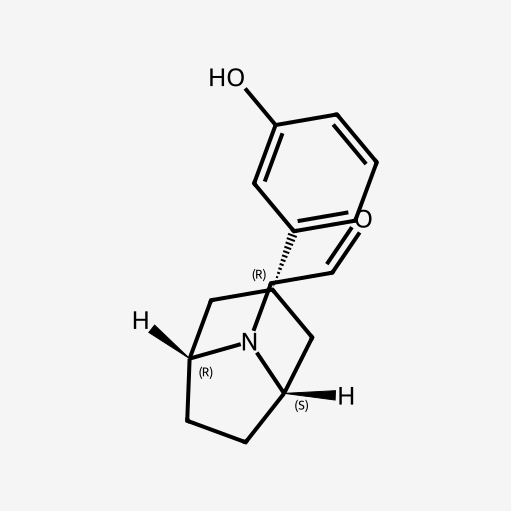 O=CCN1[C@@H]2CC[C@H]1C[C@@H](c1cccc(O)c1)C2